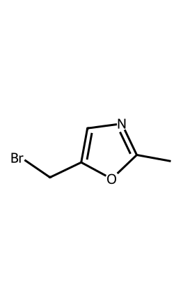 Cc1ncc(CBr)o1